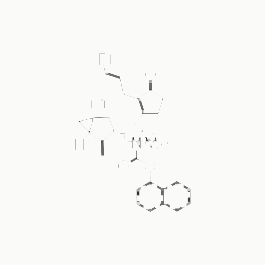 C=C1[C@H]2C[C@@]2(C(C)C)C[C@H]1OC(C)=O.CC/C=C/CC1=C(C)CCC1=O.CNC(=O)Oc1cccc2ccccc12